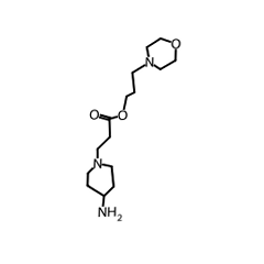 NC1CCN(CCC(=O)OCCCN2CCOCC2)CC1